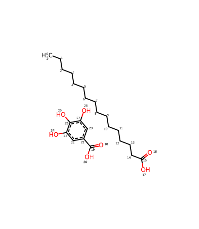 CCCCCCCCCCCCCCCC(=O)O.O=C(O)c1cc(O)c(O)c(O)c1